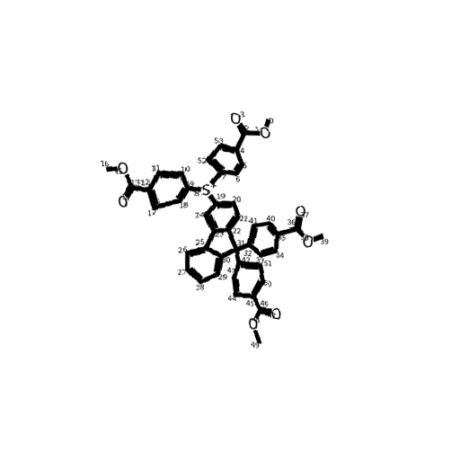 COC(=O)c1ccc([S+](c2ccc(C(=O)OC)cc2)c2ccc3c(c2)-c2ccccc2C3(c2ccc(C(=O)OC)cc2)c2ccc(C(=O)OC)cc2)cc1